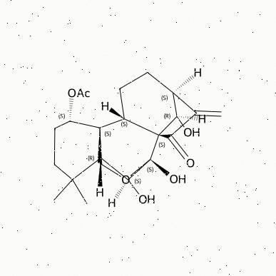 C=C1C(=O)[C@]23[C@H](O)[C@H]1CC[C@H]2[C@@]12CO[C@]3(O)[C@@H](O)[C@@H]1C(C)(C)CC[C@@H]2OC(C)=O